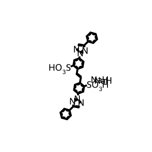 O=S(=O)(O)c1cc(-n2ncc(-c3ccccc3)n2)ccc1C=Cc1ccc(-n2ncc(-c3ccccc3)n2)cc1S(=O)(=O)O.[NaH].[NaH]